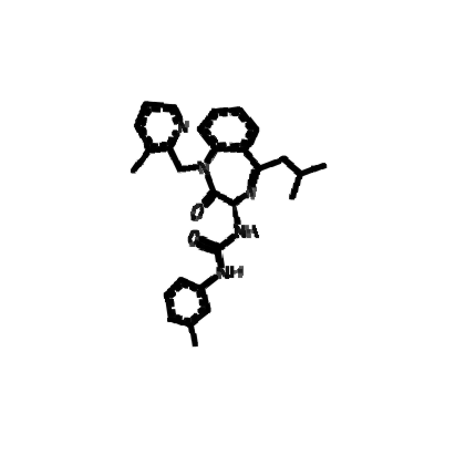 Cc1cccc(NC(=O)N[C@@H]2N=C(CC(C)C)c3ccccc3N(Cc3ncccc3C)C2=O)c1